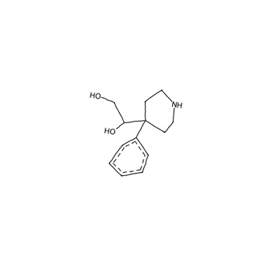 OCC(O)C1(c2ccccc2)CCNCC1